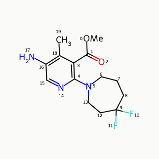 COC(=O)c1c(N2CCCC(F)(F)CC2)ncc(N)c1C